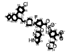 O=C(N[S+]([O-])c1ccc(C[C@H]2COCCO2)c([N+](=O)[O-])c1)c1cc(F)c(N2CCN(CCC3=C(c4ccc(Cl)cc4)CC4(CCC4)CC3)CC2)cc1Oc1cnc2[nH]ccc2c1